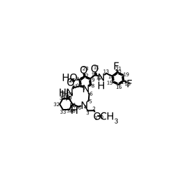 COCCN1CCn2cc(C(=O)NCc3ccc(F)cc3F)c(=O)c(O)c2C(=O)N[C@H]2CCCC[C@H]2C1